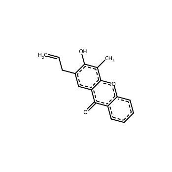 C=CCc1cc2c(=O)c3ccccc3oc2c(C)c1O